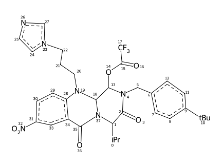 CC(C)C1C(=O)N(Cc2ccc(C(C)(C)C)cc2)C(OC(=O)C(F)(F)F)C2N(CCCn3ccnc3)c3ccc([N+](=O)[O-])cc3C(=O)N12